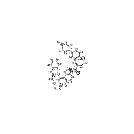 CCN(Cc1ccc(NC(=O)C2=Cc3cc(-c4ccc(C)cc4)ccc3OCC2)cc1)C1CCN(Cc2ccccc2)CC1